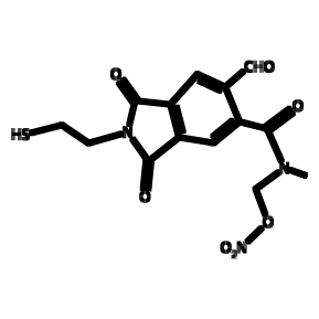 CN(CO[N+](=O)[O-])C(=O)c1cc2c(cc1C=O)C(=O)N(CCS)C2=O